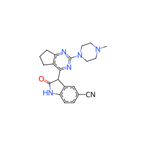 CN1CCN(c2nc3c(c(C4C(=O)Nc5ccc(C#N)cc54)n2)CCC3)CC1